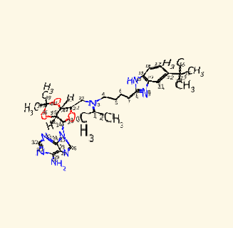 CC(C)N(CCCCc1nc2cc(C(C)(C)C)ccc2[nH]1)C[C@H]1O[C@@H](n2cnc3c(N)ncnc32)[C@@H]2OC(C)(C)O[C@@H]21